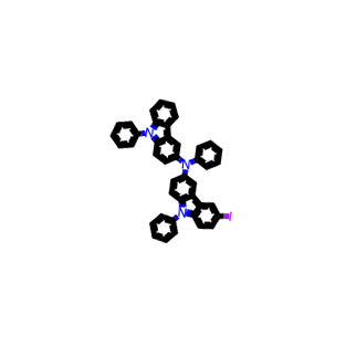 Ic1ccc2c(c1)c1cc(N(c3ccccc3)c3ccc4c(c3)c3ccccc3n4-c3ccccc3)ccc1n2-c1ccccc1